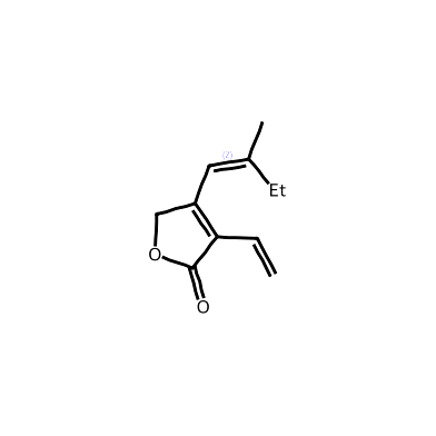 C=CC1=C(/C=C(/C)CC)COC1=O